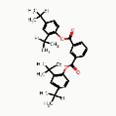 CCC(C)(C)c1ccc(OC(=O)c2cccc(C(=O)Oc3ccc(C(C)(C)CC)cc3C(C)(C)CC)c2)c(C(C)(C)CC)c1